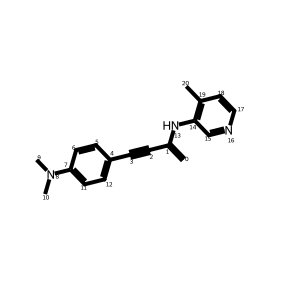 C=C(C#Cc1ccc(N(C)C)cc1)Nc1cnccc1C